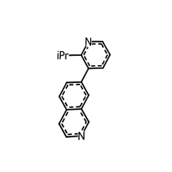 CC(C)c1ncccc1-c1ccc2ccncc2c1